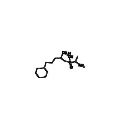 CC(N)P(=O)(O)CC(CCCC1CCCCC1)C(=O)O